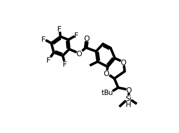 Cc1c(C(=O)Oc2c(F)c(F)c(F)c(F)c2F)ccc2c1OC(C(O[SiH](C)C)C(C)(C)C)CO2